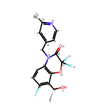 C[C@@H](O)c1c(F)ccc2c1OC(F)(F)C(=O)N2Cc1ccnc(C#N)c1